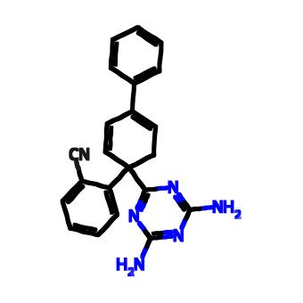 N#Cc1ccccc1C1(c2nc(N)nc(N)n2)C=CC(c2ccccc2)=CC1